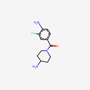 Nc1ccc(C(=O)N2CCC(N)CC2)cc1F